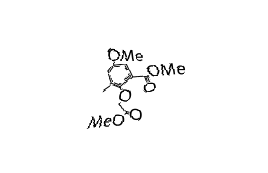 COC(=O)COc1c(C)cc(OC)cc1C(=O)OC